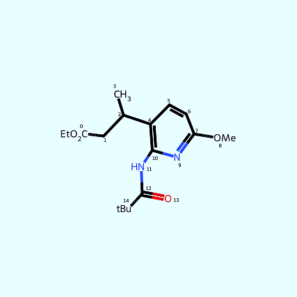 CCOC(=O)CC(C)c1ccc(OC)nc1NC(=O)C(C)(C)C